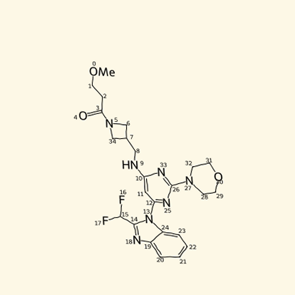 COCCC(=O)N1CC(CNc2cc(-n3c(C(F)F)nc4ccccc43)nc(N3CCOCC3)n2)C1